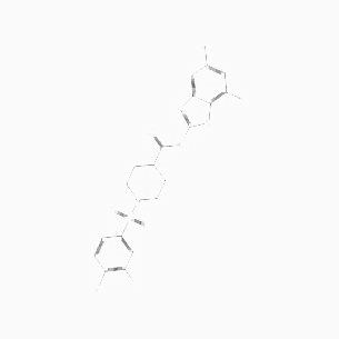 Cc1cc(C)c2sc(NC(=O)C3CCN(S(=O)(=O)c4ccc(F)c(F)c4)CC3)nc2c1